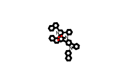 c1ccc(-n2c3ccccc3c3cc4c(cc32)c2ccccc2n4-c2ccc3ccccc3c2)c(-c2cc(-c3cccc4ccccc34)nc(-c3cccc4ccccc34)c2)c1